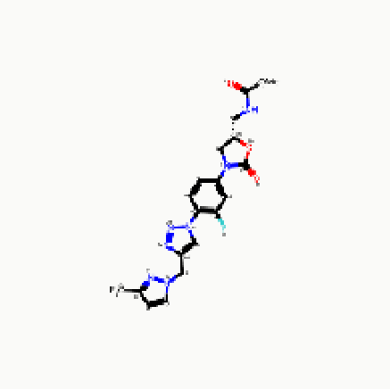 COC(=O)NC[C@H]1CN(c2ccc(-n3cc(Cn4ccc(C(F)(F)F)n4)nn3)c(F)c2)C(=O)O1